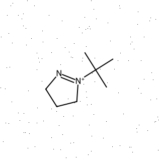 CC(C)(C)[N+]1=NCCC1